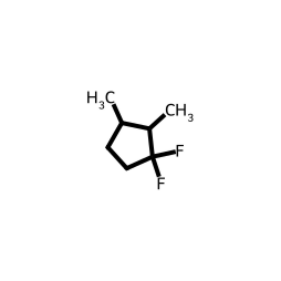 CC1CCC(F)(F)C1C